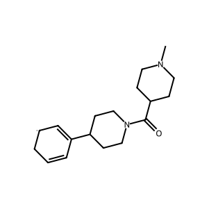 CN1CCC(C(=O)N2CCC(C3=C[CH]CC=C3)CC2)CC1